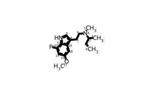 CCC(C)N(C)CCc1c[nH]c2c(F)cc(OC)cc12